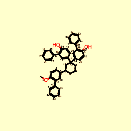 COc1ccc(C2CCCC(c3ccc(O)c(-c4ccccc4)c3)(c3ccc(O)c(-c4ccccc4)c3)C2)cc1-c1ccccc1